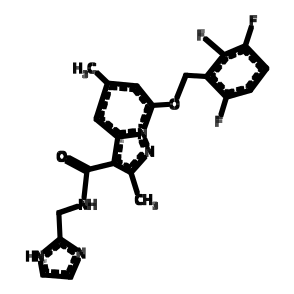 Cc1cc(OCc2c(F)ccc(F)c2F)n2nc(C)c(C(=O)NCc3ncc[nH]3)c2c1